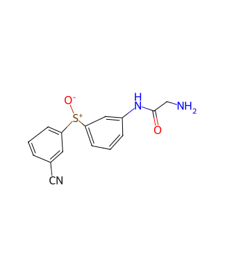 N#Cc1cccc([S+]([O-])c2cccc(NC(=O)CN)c2)c1